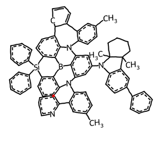 Cc1ccc2c(c1)C1=CC=CCC1c1ccc3c4c1N2c1cc(N2c5ccc(-c6ccccc6)cc5C5(C)CCCCC25C)cc2c1B4c1c(cccc1[Si]3(c1ccccc1)c1ccccc1)N2c1ccc(C)cc1-c1ccccn1